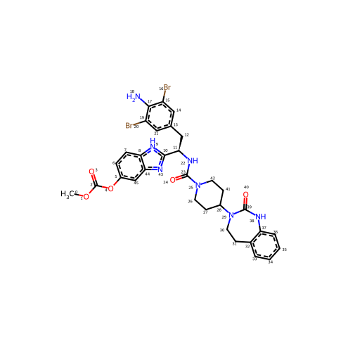 COC(=O)Oc1ccc2[nH]c([C@@H](Cc3cc(Br)c(N)c(Br)c3)NC(=O)N3CCC(N4CCc5ccccc5NC4=O)CC3)nc2c1